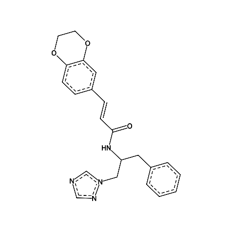 O=C(/C=C/c1ccc2c(c1)OCCO2)NC(Cc1ccccc1)Cn1cncn1